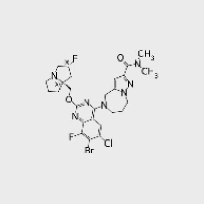 CN(C)C(=O)c1cc2n(n1)CCCN(c1nc(OC[C@@]34CCCN3C[C@H](F)C4)nc3c(F)c(Br)c(Cl)cc13)C2